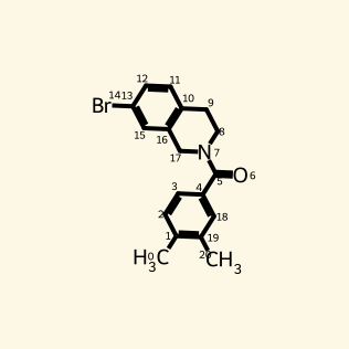 Cc1ccc(C(=O)N2CCc3ccc(Br)cc3C2)cc1C